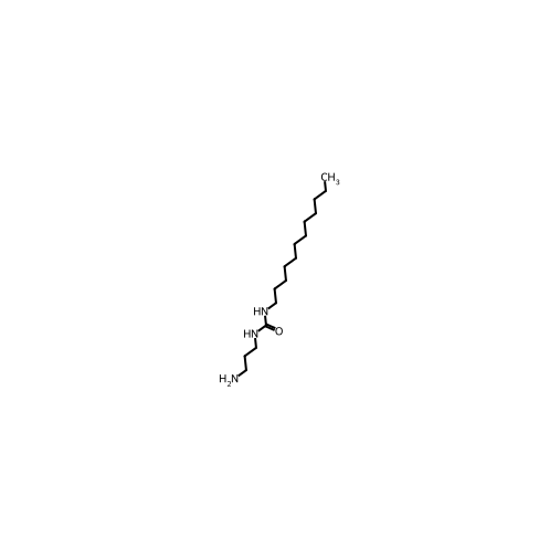 CCCCCCCCCCCCNC(=O)NCCCN